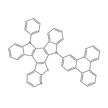 c1ccc(-n2c3ccccc3c3c4c5cccnc5sc4c4c(c5ccccc5n4-c4ccc5c6ccccc6c6ccccc6c5c4)c32)cc1